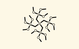 CO[Si](C[Si](C[Si](OC)(OC)OC)(C[Si](OC)(OC)OC)C[Si](OC)(OC)OC)(OC)OC